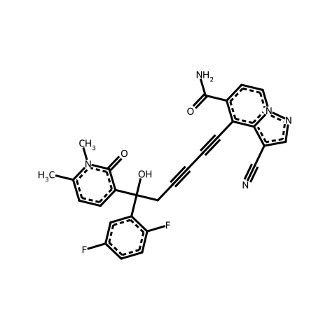 Cc1ccc(C(O)(CC#CC#Cc2c(C(N)=O)ccn3ncc(C#N)c23)c2cc(F)ccc2F)c(=O)n1C